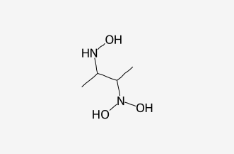 CC(NO)C(C)N(O)O